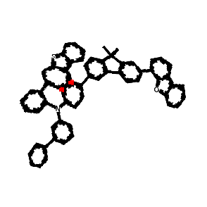 CC1(C)c2ccc(-c3ccc(N(c4cccc(-c5ccccc5)c4)c4ccccc4-c4ccc5c(c4)sc4ccccc45)cc3)cc2-c2ccc(-c3cccc4c3oc3ccccc34)cc21